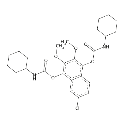 COc1c(OC)c(OC(=O)NC2CCCCC2)c2cc(Cl)ccc2c1OC(=O)NC1CCCCC1